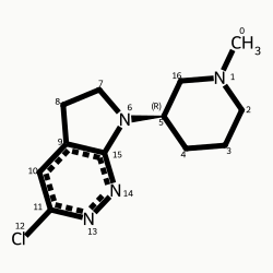 CN1CCC[C@@H](N2CCc3cc(Cl)nnc32)C1